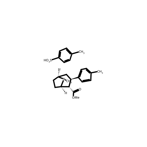 COC(=O)[C@@H]1[C@H]2CC[C@@H](C[C@H]1c1ccc(C)cc1)N2C.Cc1ccc(S(=O)(=O)O)cc1